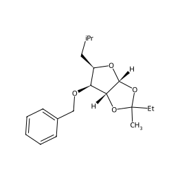 CCC1(C)O[C@H]2O[C@H](CC(C)C)[C@H](OCc3ccccc3)[C@H]2O1